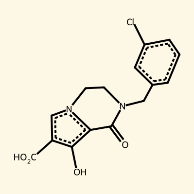 O=C(O)c1cn2c(c1O)C(=O)N(Cc1cccc(Cl)c1)CC2